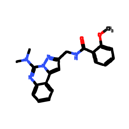 CN(C)c1nc2ccccc2c2cc(CNC(=O)c3ccccc3OC(F)(F)F)nn12